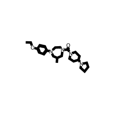 CCOc1ccc(N2CCN(C(=O)N3CCC(N4CCCC4)CC3)CC(C)C2)cc1